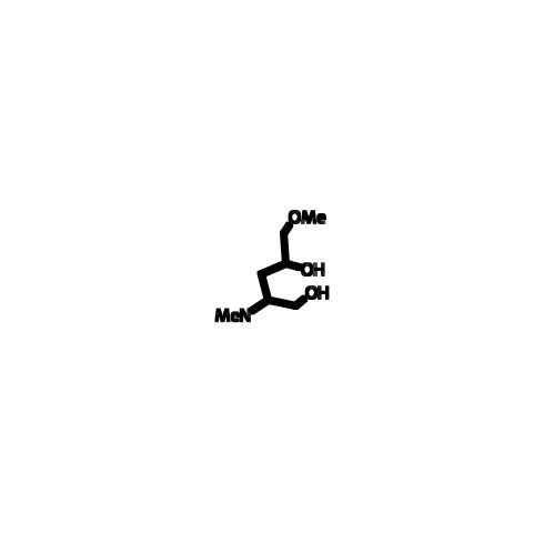 CNC(CO)CC(O)COC